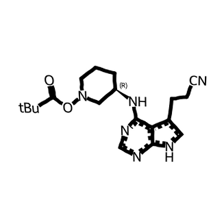 CC(C)(C)C(=O)ON1CCC[C@@H](Nc2ncnc3[nH]cc(CCC#N)c23)C1